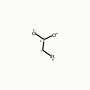 CCCI(Cl)Cl